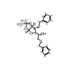 CC1(C)O[C@H]2O[C@H]([C@@H](O)COCc3ccccc3)[C@H](OCc3ccccc3)[C@H]2O1